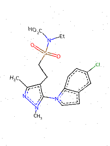 CCN(C(=O)O)S(=O)(=O)CCc1c(C)nn(C)c1-n1ccc2cc(Cl)ccc21